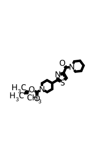 CC(C)(C)OC(=O)N1CCC(c2nc(C(=O)N3CCCCC3)cs2)CC1